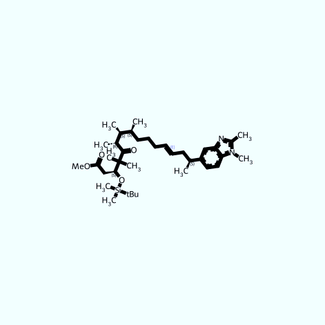 COC(=O)C[C@H](O[Si](C)(C)C(C)(C)C)C(C)(C)C(=O)[C@H](C)[C@@H](C)[C@@H](C)CCC/C=C/C[C@H](C)c1ccc2c(c1)nc(C)n2C